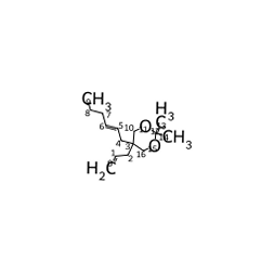 C=CCC1(CC=CCCC)COC(C)(C)OC1